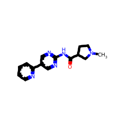 CN1CCC(C(=O)Nc2ncc(-c3ccccn3)cn2)C1